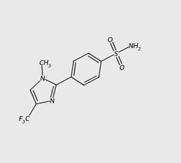 Cn1cc(C(F)(F)F)nc1-c1ccc(S(N)(=O)=O)cc1